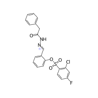 O=C(Cc1ccccc1)N/N=C/c1ccccc1OS(=O)(=O)c1ccc(F)cc1Cl